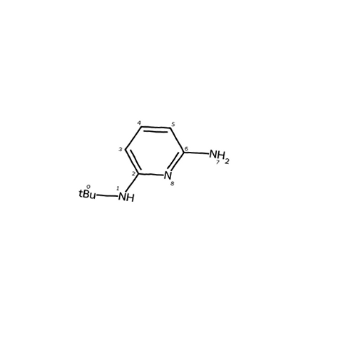 CC(C)(C)Nc1cccc(N)n1